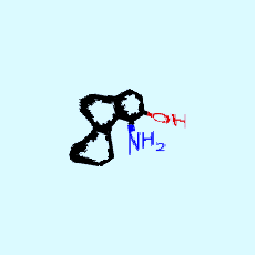 Nc1c(O)ccc2ccc3ccccc3c12